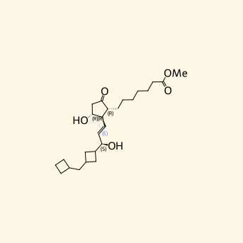 COC(=O)CCCCCC[C@H]1C(=O)C[C@@H](O)[C@@H]1/C=C/[C@@H](O)C1CC(CC2CCC2)C1